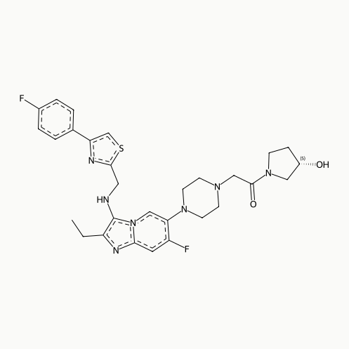 CCc1nc2cc(F)c(N3CCN(CC(=O)N4CC[C@H](O)C4)CC3)cn2c1NCc1nc(-c2ccc(F)cc2)cs1